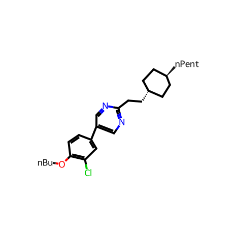 CCCCC[C@H]1CC[C@H](CCc2ncc(-c3ccc(OCCCC)c(Cl)c3)cn2)CC1